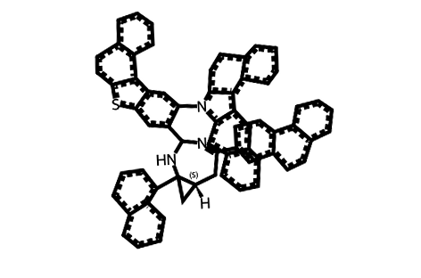 c1ccc2cc3c(cc2c1)c1c2ccccc2ccc1n3-c1cc2c(cc1C1N=C(c3ccc4c(ccc5ccccc54)c3)C[C@@H]3CC3(c3cccc4ccccc34)N1)sc1ccc3ccccc3c12